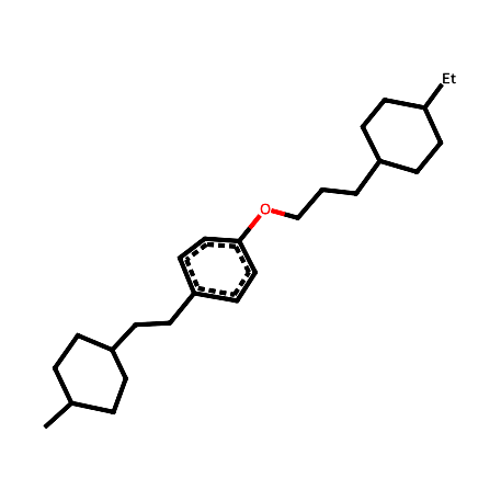 CCC1CCC(CCCOc2ccc(CCC3CCC(C)CC3)cc2)CC1